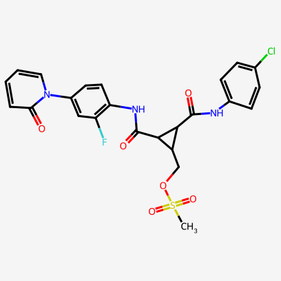 CS(=O)(=O)OCC1C(C(=O)Nc2ccc(Cl)cc2)C1C(=O)Nc1ccc(-n2ccccc2=O)cc1F